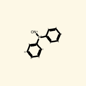 O=NP(c1ccccc1)c1ccccc1